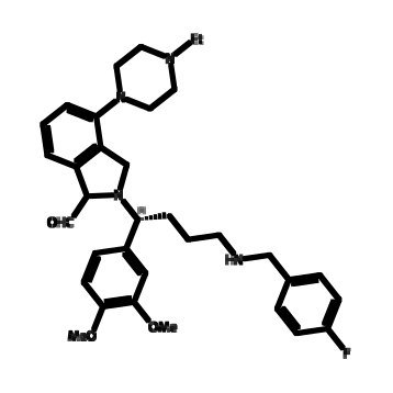 CCN1CCN(c2cccc3c2CN([C@H](CCCNCc2ccc(F)cc2)c2ccc(OC)c(OC)c2)C3C=O)CC1